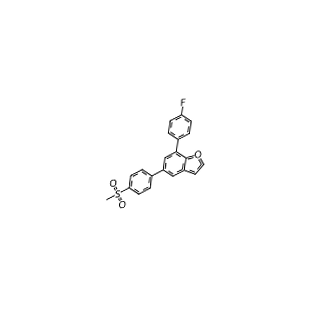 CS(=O)(=O)c1ccc(-c2cc(-c3ccc(F)cc3)c3occc3c2)cc1